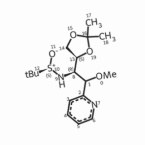 COC(c1ccccn1)[C@@H](N[S@+]([O-])C(C)(C)C)[C@H]1COC(C)(C)O1